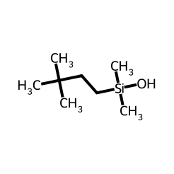 CC(C)(C)CC[Si](C)(C)O